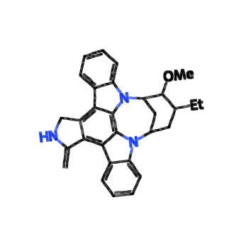 C=C1NCc2c1c1c3ccccc3n3c1c1c2c2ccccc2n1C1CC3CC(CC)C1OC